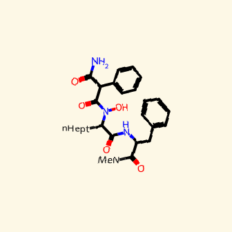 CCCCCCCC(C(=O)NC(Cc1ccccc1)C(=O)NC)N(O)C(=O)C(C(N)=O)c1ccccc1